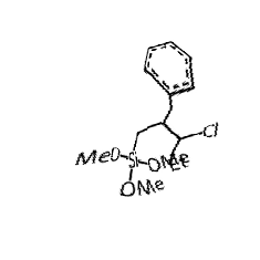 CCC(Cl)C(C[Si](OC)(OC)OC)c1ccccc1